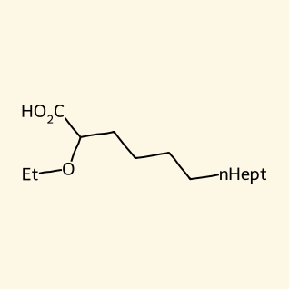 CCCCCCCCCCCC(OCC)C(=O)O